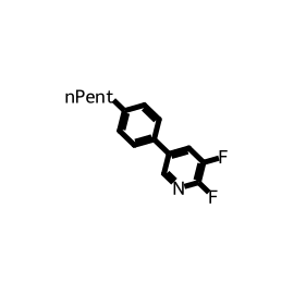 CCCCCc1ccc(-c2cnc(F)c(F)c2)cc1